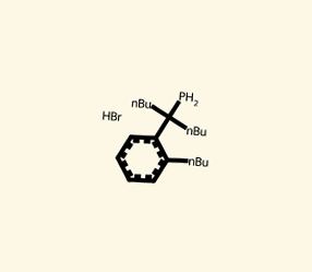 Br.CCCCc1ccccc1C(P)(CCCC)CCCC